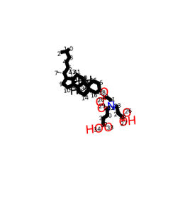 CC(C)CCC[C@@H](C)C1CC[C@H]2[C@@H]3CC=C4C[C@@H](OC(=O)CN(CCC(=O)O)C(=O)CCC(=O)O)CC[C@]4(C)[C@H]3CC[C@]12C